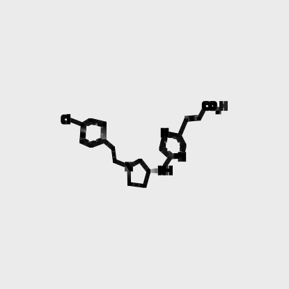 O=C(O)/C=C/c1cnc(N[C@@H]2CCN(CCc3ccc(Cl)cc3)C2)cn1